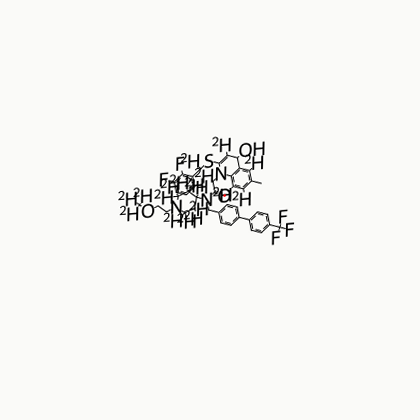 [2H]C1=C(SC([2H])([2H])c2cccc(F)c2F)N(CC(=O)N(Cc2ccc(-c3ccc(C(F)(F)F)cc3)cc2)C2([2H])C([2H])([2H])C([2H])([2H])N(CCOC([2H])([2H])[2H])C([2H])([2H])C2([2H])[2H])c2c([2H])c([2H])c(C)c([2H])c2C1O